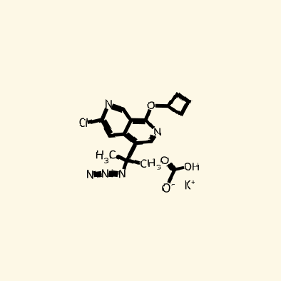 CC(C)(N=[N+]=[N-])c1cnc(OC2CCC2)c2cnc(Cl)cc12.O=C([O-])O.[K+]